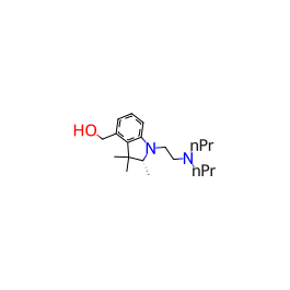 CCCN(CCC)CCN1c2cccc(CO)c2C(C)(C)[C@H]1C